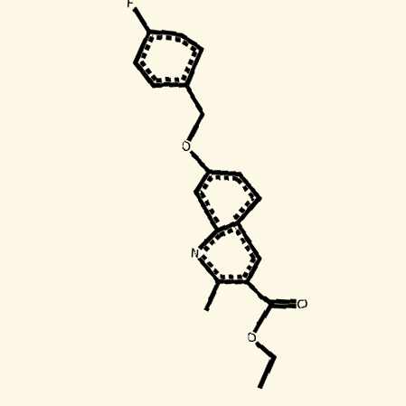 CCOC(=O)c1cc2ccc(OCc3ccc(F)cc3)cc2nc1C